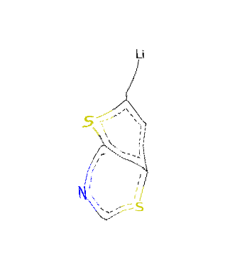 [Li][c]1cc2scnc2s1